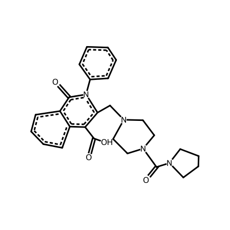 O=C(O)c1c(CN2CCN(C(=O)N3CCCC3)CC2)n(-c2ccccc2)c(=O)c2ccccc12